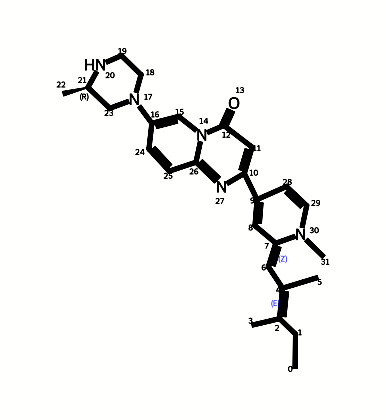 CC/C(C)=C(C)/C=C1/C=C(c2cc(=O)n3cc(N4CCN[C@H](C)C4)ccc3n2)C=CN1C